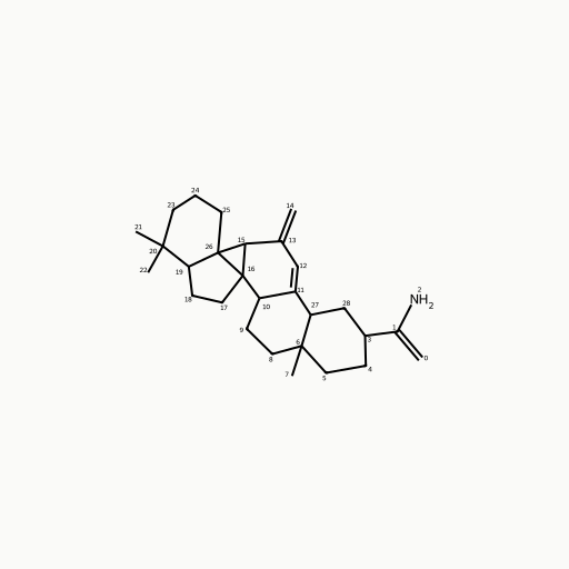 C=C(N)C1CCC2(C)CCC3C(=CC(=C)C4C35CCC3C(C)(C)CCCC345)C2C1